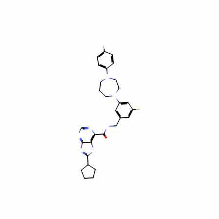 O=C(NCc1cc(F)cc(N2CCCN(c3ccc(F)cc3)CC2)c1)c1ncnc2nc(C3CCCC3)[nH]c12